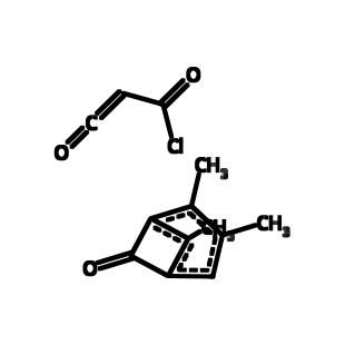 Cc1cc2c(C)c(c1C)C2=O.O=C=CC(=O)Cl